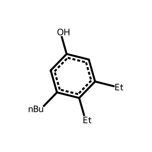 CCCCc1cc(O)cc(CC)c1CC